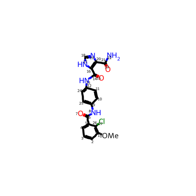 COc1cccc(C(=O)Nc2ccc(NC(=O)c3[nH]cnc3C(N)=O)cc2)c1Cl